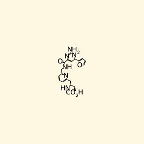 C=CC(Cc1cccc(CNC(=O)c2cc(-c3ccco3)nc(N)n2)n1)NC(=O)O